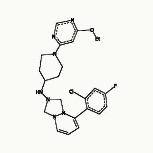 CCOc1cc(N2CCC(NN3CN4C=CC=C(c5ccc(F)cc5Cl)N4C3)CC2)ncn1